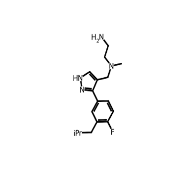 CC(C)Cc1cc(-c2n[nH]cc2CN(C)CCN)ccc1F